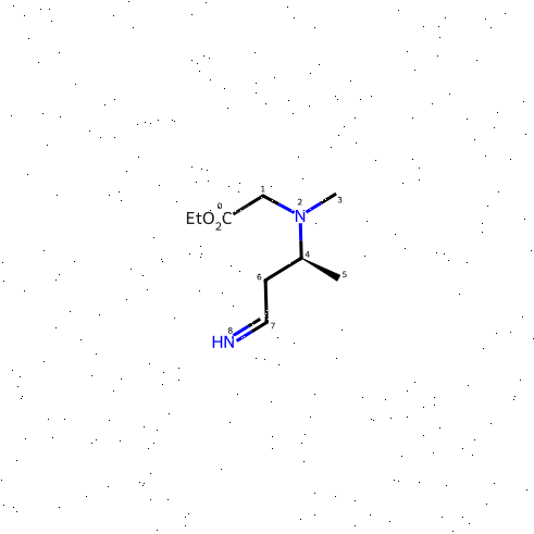 CCOC(=O)CN(C)[C@@H](C)CC=N